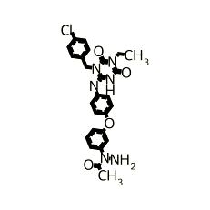 CCn1c(=O)[nH]/c(=N\c2ccc(Oc3cccc(N(N)C(C)=O)c3)cc2)n(Cc2ccc(Cl)cc2)c1=O